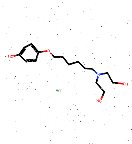 Cl.OCCN(CCO)CCCCCCOc1ccc(O)cc1